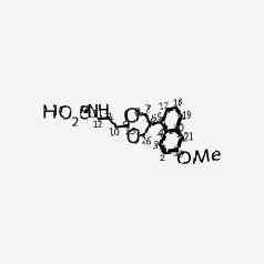 COc1ccc2c(C3COC(CCCNC(=O)O)OC3)cccc2c1